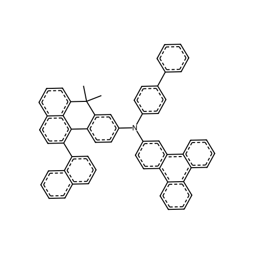 CC1(C)c2cc(N(c3ccc(-c4ccccc4)cc3)c3ccc4c5ccccc5c5ccccc5c4c3)ccc2-c2c(-c3cccc4ccccc34)ccc3cccc1c23